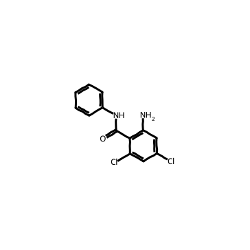 Nc1cc(Cl)cc(Cl)c1C(=O)Nc1ccccc1